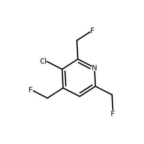 FCc1cc(CF)c(Cl)c(CF)n1